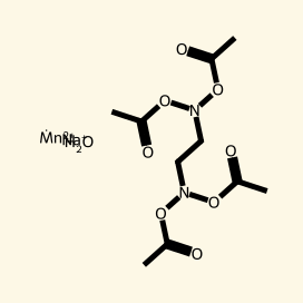 CC(=O)ON(CCN(OC(C)=O)OC(C)=O)OC(C)=O.O.[Mn+2].[Na+]